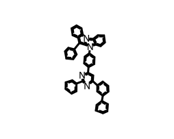 c1ccc(-c2cccc(-c3cc(-c4ccc(-n5c6ccccc6n6c7ccccc7c(-c7ccccc7)c56)cc4)nc(-c4ccccc4)n3)c2)cc1